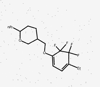 CCCC1CCC(COC2=CC=C(CC)C(F)(F)C2(F)F)CO1